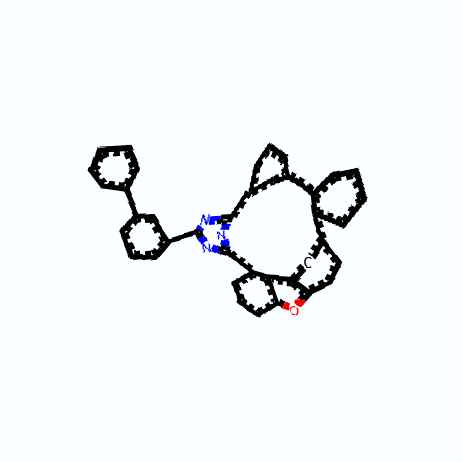 c1ccc(-c2cccc(-c3nc4nc(n3)c3cccc5oc6ccc(cc6c53)c3ccccc3c3cccc4c3)c2)cc1